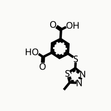 Cc1nnc(Sc2cc(C(=O)O)cc(C(=O)O)c2)s1